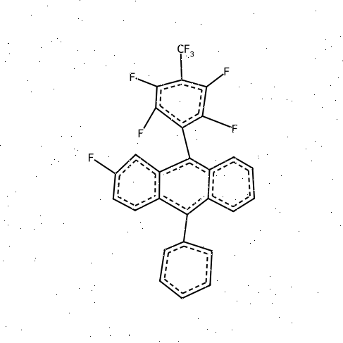 Fc1ccc2c(-c3ccccc3)c3ccccc3c(-c3c(F)c(F)c(C(F)(F)F)c(F)c3F)c2c1